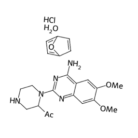 COc1cc2nc(N3CCNCC3C(C)=O)nc(N)c2cc1OC.Cl.O.c1cc2ccc1o2